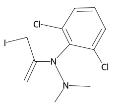 C=C(CI)N(c1c(Cl)cccc1Cl)N(C)C